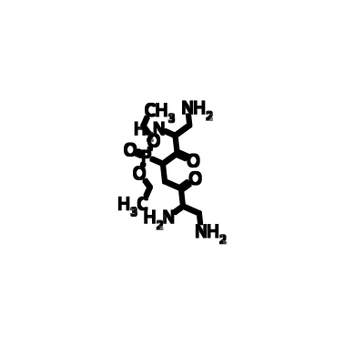 CCOP(=O)(OCC)C(CC(=O)C(N)CN)C(=O)C(N)CN